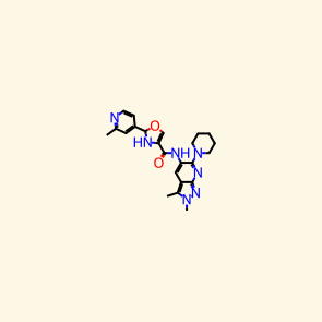 Cc1cc(C2NC(C(=O)Nc3cc4c(C)n(C)nc4nc3N3CCCCC3)=CO2)ccn1